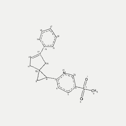 CS(=O)(=O)c1ccc(C2CC23CC=C(c2ccccc2)C3)nc1